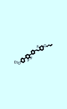 C=CCCOc1ccc(/C=C/c2ccc(-c3ccc(-c4ccc(OCC)cc4)c(F)c3F)cc2)c(F)c1